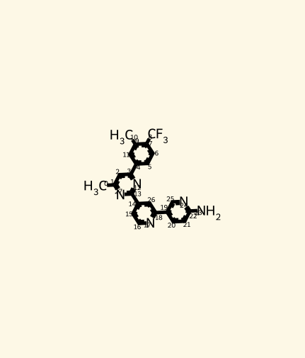 Cc1cc(-c2ccc(C(F)(F)F)c(C)c2)nc(-c2ccnc(-c3ccc(N)nc3)c2)n1